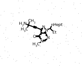 CCCCCCCC(CC)n1nc(C#CC(C)(C)N)c2c(=O)n(C)cnc21